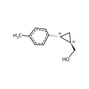 Cc1ccc([C@@H]2C[C@H]2CO)cc1